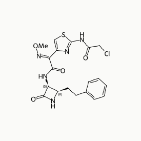 CON=C(C(=O)N[C@@H]1C(=O)N[C@@H]1CCc1ccccc1)c1csc(NC(=O)CCl)n1